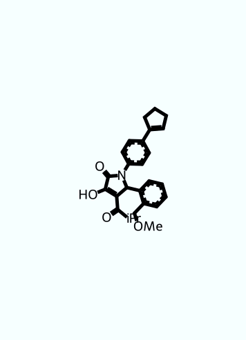 COCc1ccccc1C1C(C(=O)C(C)C)=C(O)C(=O)N1c1ccc(C2=CCCC2)cc1